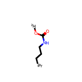 [2H]OC(=O)NCCCC(C)C